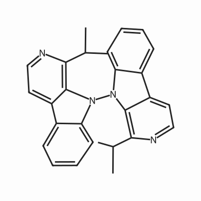 CC(C)c1nccc2c3ccccc3n(-n3c4ccccc4c4ccnc(C(C)C)c43)c12